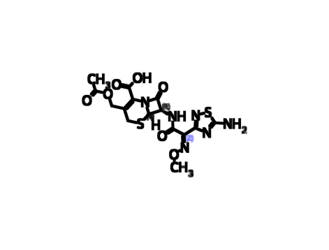 CO/N=C(\C(=O)N[C@@H]1C(=O)N2C(C(=O)O)=C(COC(C)=O)CS[C@H]12)c1nsc(N)n1